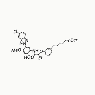 CCCCCCCCCCCCCCCc1cccc(OC(CC)C(=O)Nc2cc(-n3nc4ccc(Cl)cc4n3)c(OC)cc2O)c1